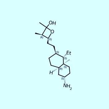 CC[C@H]1[C@H](CC[C@@H]2OC(C)(O)[C@@H]2C)CC[C@@H]2C[C@@H](N)CC[C@@]21C